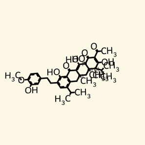 COc1ccc(CCc2cc(C(C)C)c3c(c2O)C(=O)C2=C(O)[C@@]4(O)C(=O)C(C(C)=O)=C(O)[C@@](C)(C(C)C)[C@@]4(C)C[C@@]2(C)C3)cc1O